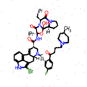 CC(C)C[C@H]1C(=O)N2CCC[C@H]2[C@]2(O)O[C@](NC(=O)[C@@H]3C=C4c5cccc6[nH]c(Br)c(c56)C[C@H]4N(C)C3)(C(C)C)C(=O)N12.CC1CCN(CCCC(=O)c2ccc(F)cc2)CC1